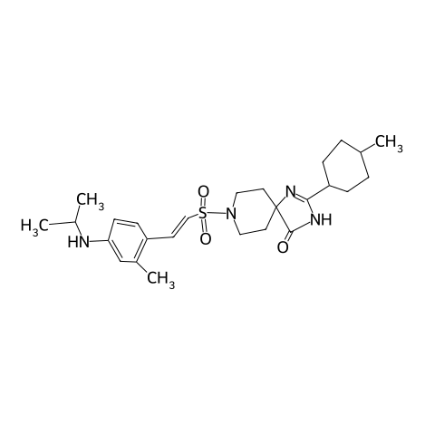 Cc1cc(NC(C)C)ccc1/C=C/S(=O)(=O)N1CCC2(CC1)N=C(C1CCC(C)CC1)NC2=O